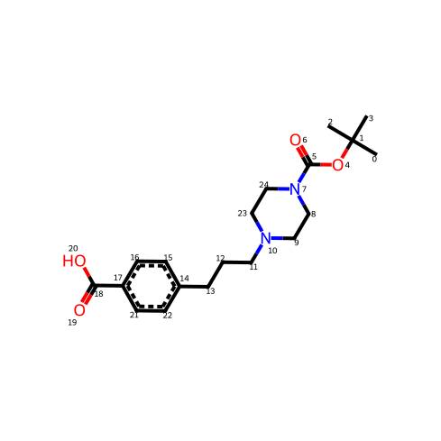 CC(C)(C)OC(=O)N1CCN(CCCc2ccc(C(=O)O)cc2)CC1